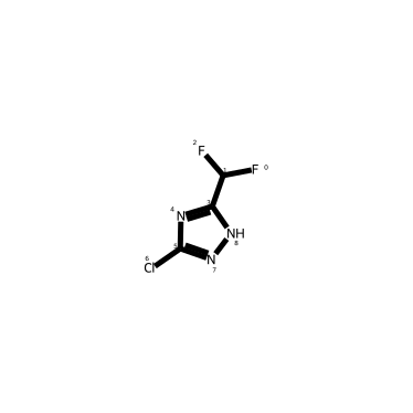 FC(F)c1nc(Cl)n[nH]1